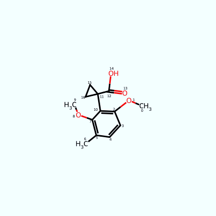 COc1ccc(C)c(OC)c1C1(C(=O)O)CC1